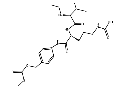 CCN[C@H](C(=O)N[C@@H](CCCNC(N)=O)C(=O)Nc1ccc(COC(=O)SC)cc1)C(C)C